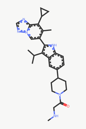 CNCC(=O)N1CCC(c2ccc3[nH]c(-c4cn5ncnc5c(C5CC5)c4C)c(C(C)C)c3c2)CC1